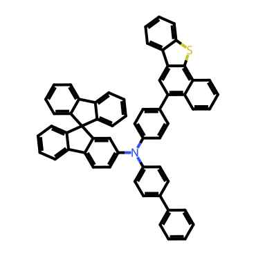 c1ccc(-c2ccc(N(c3ccc(-c4cc5c6ccccc6sc5c5ccccc45)cc3)c3ccc4c(c3)C3(c5ccccc5-c5ccccc53)c3ccccc3-4)cc2)cc1